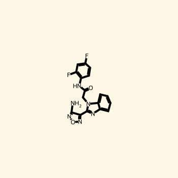 Nc1nonc1-c1nc2ccccc2n1CC(=O)Nc1ccc(F)cc1F